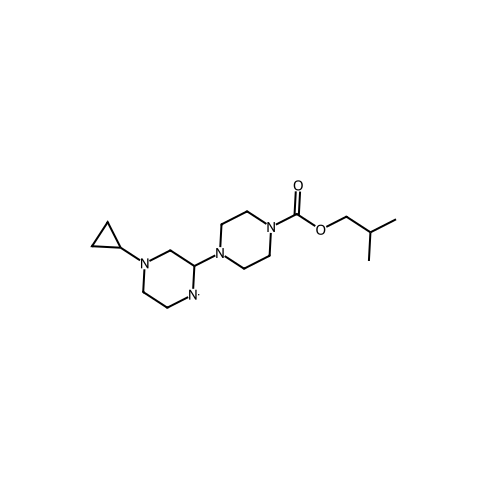 CC(C)COC(=O)N1CCN(C2CN(C3CC3)CC[N]2)CC1